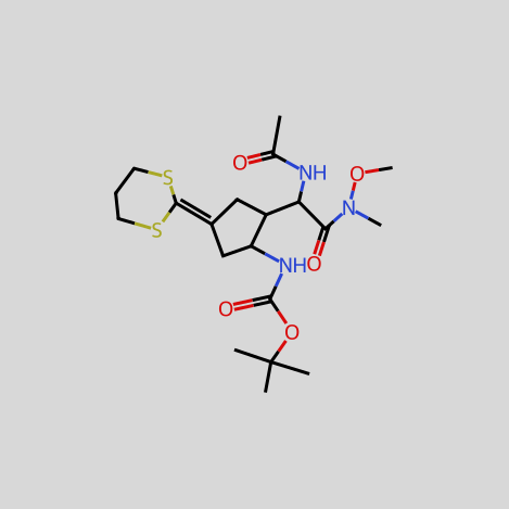 CON(C)C(=O)C(NC(C)=O)C1CC(=C2SCCCS2)CC1NC(=O)OC(C)(C)C